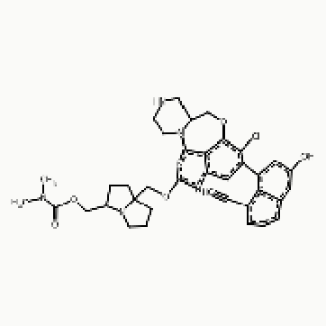 C#Cc1cccc2cc(O)cc(-c3cc4nc(OCC56CCCN5C(COC(=O)N(C)C)CC6)nc5c4c(c3Cl)OCC3CNCCN53)c12